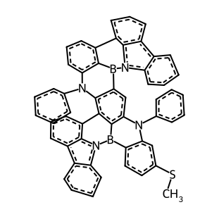 CSc1ccc2c(c1)N(c1ccccc1)c1cc3c(c4c1B2n1c2ccccc2c2cccc-4c21)N(c1ccccc1)c1cccc2c1B3n1c3ccccc3c3cccc-2c31